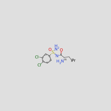 CC(C)C[C@H](N)C(=O)N=S(N)(=O)c1ccc(Cl)c(Cl)c1